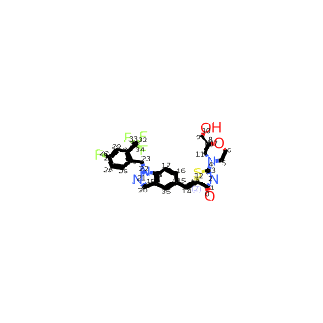 O=C1N=C(N2CCO[C@H](CO)C2)S/C1=C\c1ccc2c(cnn2Cc2ccc(F)cc2C(F)(F)F)c1